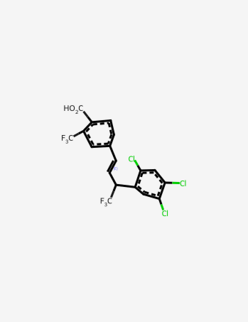 O=C(O)c1ccc(/C=C/C(c2cc(Cl)c(Cl)cc2Cl)C(F)(F)F)cc1C(F)(F)F